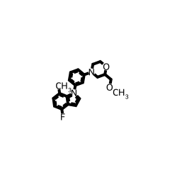 COCC1CN(c2cccc(-n3ccc4c(F)ccc(C)c43)c2)CCO1